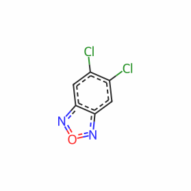 Clc1cc2nonc2cc1Cl